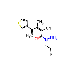 C=C(/C(C)=C(/C#N)C(=O)N(N)CCC(C)C)c1ccsc1